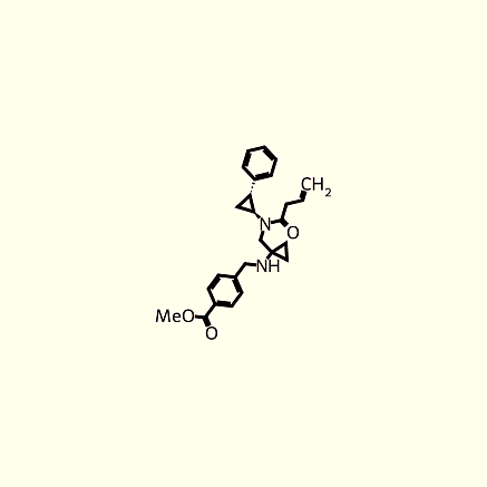 C=CCC(=O)N(CC1(NCc2ccc(C(=O)OC)cc2)CC1)[C@H]1C[C@@H]1c1ccccc1